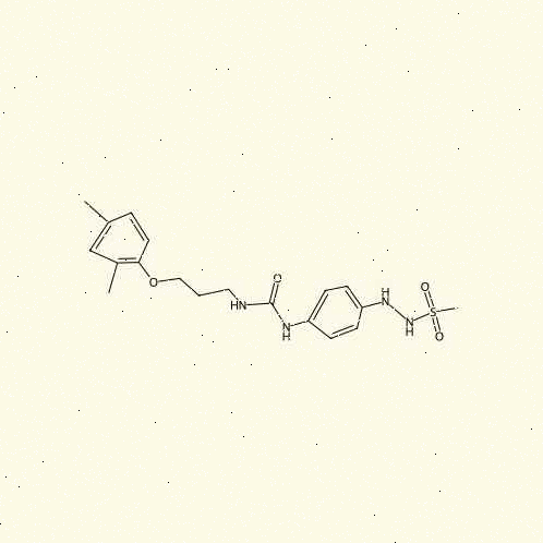 Cc1ccc(OCCCNC(=O)Nc2ccc(NNS(C)(=O)=O)cc2)c(C)c1